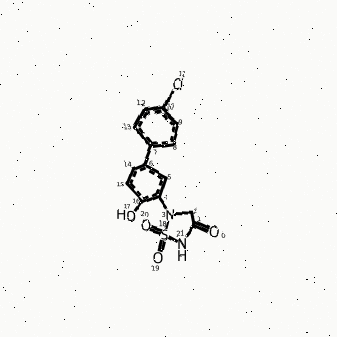 O=C1CN(c2cc(-c3ccc(Cl)cc3)ccc2O)S(=O)(=O)N1